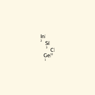 [C].[Ge].[In].[Si]